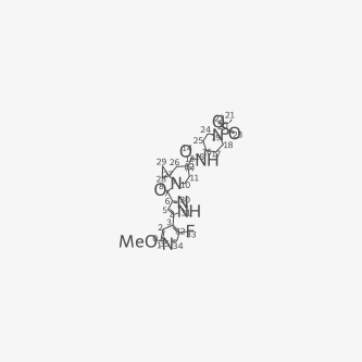 COc1cc(-c2cc(C(=O)N3CC[C@H](C(=O)NC4CCN(S(C)(=O)=O)CC4)CC34CC4)n[nH]2)c(F)cn1